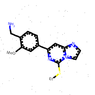 CCSc1nc(-c2ccc(CN)c(OC)c2)cc2nccn12